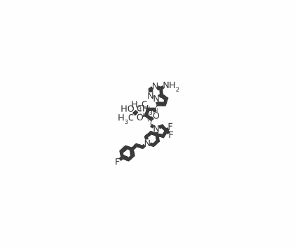 C[C@@H]1[C@H](OC(C)(C)O)[C@@H](CN2CC(F)(F)CC23CCN(CCc2ccc(F)cc2)CC3)O[C@H]1c1ccc2c(N)ncnn12